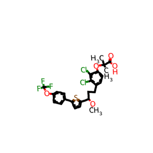 COC(CCc1ccc(OC(C)(C)C(=O)O)c(Cl)c1Cl)c1ccc(-c2ccc(OC(F)(F)F)cc2)s1